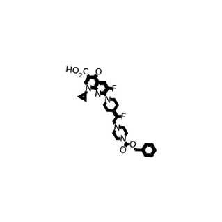 O=C(O)c1cn(C2CC2)c2nc(N3CCC(=C(F)CN4CCN(C(=O)OCc5ccccc5)CC4)CC3)c(F)cc2c1=O